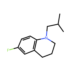 C[C](C)CN1CCCc2cc(F)ccc21